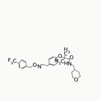 CC(C)(Oc1ccc(CC=NOCc2ccc(C(F)(F)F)cc2)cc1)C(=O)NCC1CCOCC1